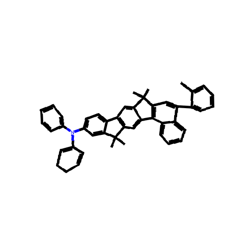 Cc1ccccc1-c1cc2c(c3ccccc13)-c1cc3c(cc1C2(C)C)-c1ccc(N(C2=CCCC=C2)c2ccccc2)cc1C3(C)C